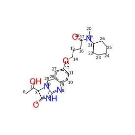 CC(O)C1C(=O)NC2=Nc3ccc(OCCCC(=O)N(C)C4CCCCC4)cc3CN21